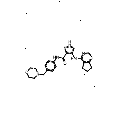 O=C(Nc1ccc(CN2CCOCC2)cc1)c1n[nH]cc1Nc1ncnc2c1CCC2